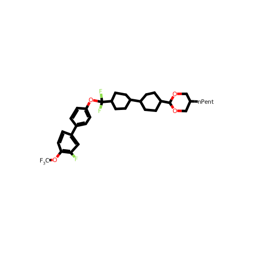 CCCCCC1COC(C2CCC(C3CCC(C(F)(F)Oc4ccc(-c5ccc(OC(F)(F)F)c(F)c5)cc4)CC3)CC2)OC1